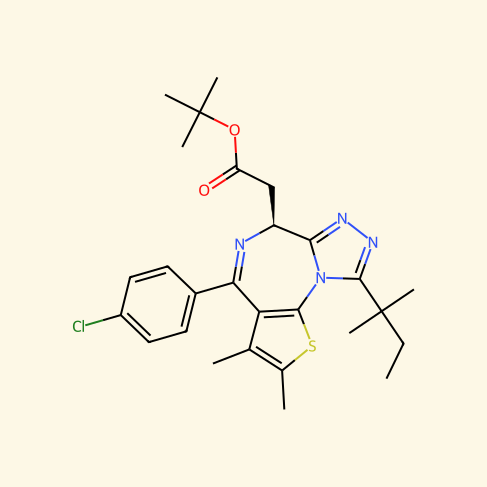 CCC(C)(C)c1nnc2n1-c1sc(C)c(C)c1C(c1ccc(Cl)cc1)=N[C@H]2CC(=O)OC(C)(C)C